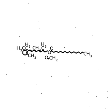 CCCCCCCCCCCCCCCC(=O)OC/C=C(C)/C=C/C=C(C)/C=C/C1=C(C)CCCC1(C)C.[CH2]C=O